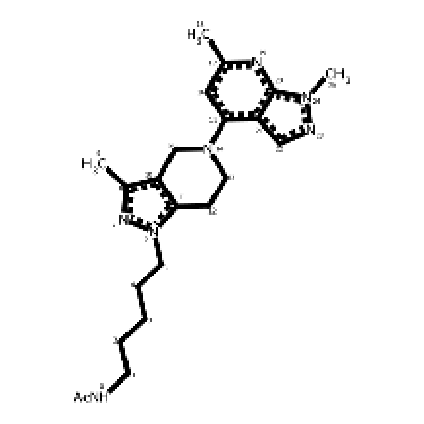 CC(=O)NCCCCCn1nc(C)c2c1CCN(c1cc(C)nc3c1cnn3C)C2